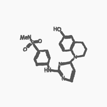 CNS(=O)(=O)c1ccc(Nc2nccc(N3CCCc4cc(O)ccc43)n2)cc1